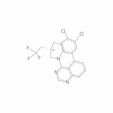 FC(F)(F)C[C@@H]1CCCN(c2ncnc3cccc(-c4ccc(Cl)c(Cl)c4)c23)C1